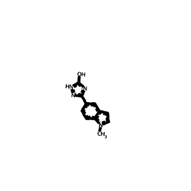 Cn1ccc2cc(-c3n[nH]c(O)n3)ccc21